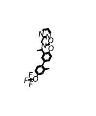 Cc1cc(OC(F)(F)F)ccc1-c1ccc2c(c1)C(C)N(Cc1ncccn1)C(=O)O2